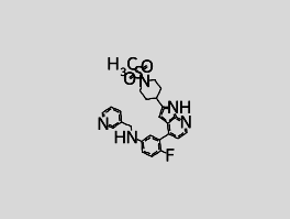 CS(=O)(=O)N1CCC(c2cc3c(-c4cc(NCc5cccnc5)ccc4F)ccnc3[nH]2)CC1